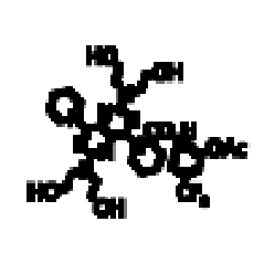 CC(=O)Oc1cc(C(F)(F)F)ccc1C(=O)O.OCCN(CCO)c1nc(N2CCCCC2)c2nc(N(CCO)CCO)nc(N3CCCCC3)c2n1